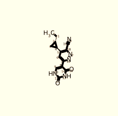 CC[C@H]1C[C@@H]1c1cc(-c2c[nH]c(=O)[nH]c2=O)nnc1C#N